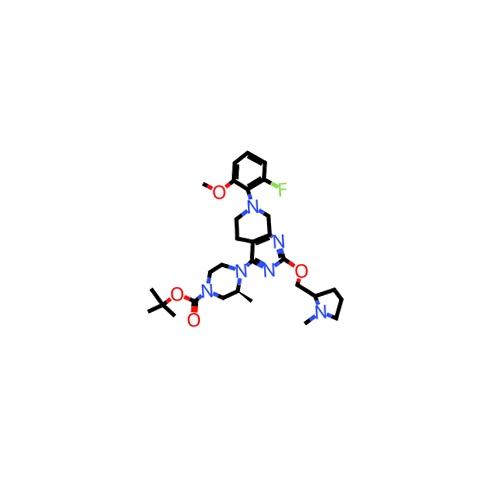 COc1cccc(F)c1N1CCc2c(nc(OCC3CCCN3C)nc2N2CCN(C(=O)OC(C)(C)C)C[C@@H]2C)C1